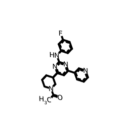 CC(=O)N1CCCC(c2cc(-c3cccnc3)nc(Nc3cccc(F)c3)n2)C1